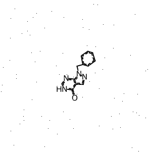 O=c1[nH]cnc2c1cnn2Cc1ccccc1